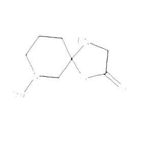 CC(C)(C)N1CCCC2(C1)NCC(=O)O2